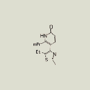 CCCc1[nH]c(=O)ccc1-c1nc(C)sc1CC